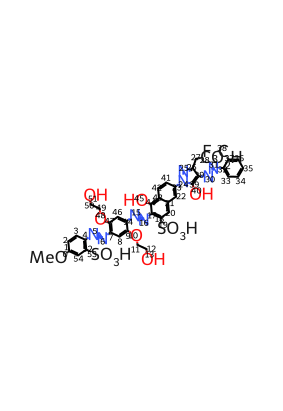 COc1ccc(/N=N/c2cc(OCCO)c(/N=N/c3c(S(=O)(=O)O)cc4cc(-n5nc(CC(=O)O)c(/N=N/c6ccccc6C(F)(F)F)c5O)ccc4c3O)cc2OCCO)c(S(=O)(=O)O)c1